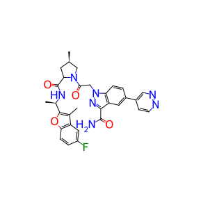 Cc1c([C@@H](C)NC(=O)C2C[C@@H](C)CN2C(=O)Cn2nc(C(N)=O)c3cc(-c4ccnnc4)ccc32)oc2ccc(F)cc12